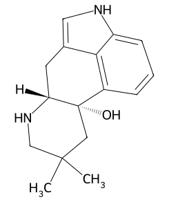 CC1(C)CN[C@@H]2Cc3c[nH]c4cccc(c34)[C@@]2(O)C1